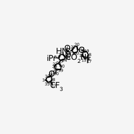 CC(C)c1cc(NS(=O)(=O)c2ccc(Oc3ccc(F)cc3)cc2)c(C(=O)O)cc1-c1ccc(COc2cccc(C(F)(F)F)c2)cc1